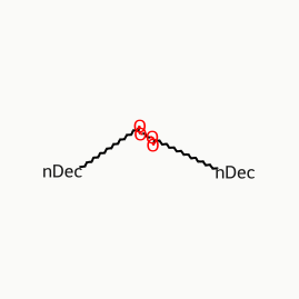 CCCCCCCCCCCCCCCCCCCCCCCCCCCC(=O)OCCOC(=O)CCCCCCCCCCCCCCCCCCCCCCCCCCC